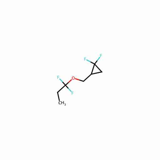 CCC(F)(F)OCC1CC1(F)F